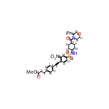 COC(=O)CCc1ccc(C#Cc2ccc(S(=O)(=O)NC3CCC(C(=O)N4CCOC[C@@H]4C(C)C)CC3)cc2[N+](=O)[O-])cc1